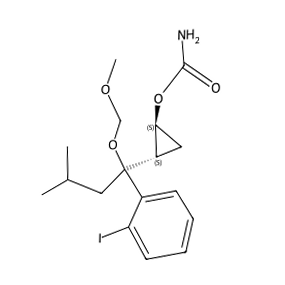 COCOC(CC(C)C)(c1ccccc1I)[C@H]1C[C@@H]1OC(N)=O